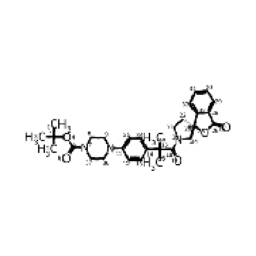 CC(C)(C)OC(=O)N1CCN(c2ccc(C(C)(C)C(=O)N3CC[C@@]4(C3)OC(=O)c3ccccc34)cc2)CC1